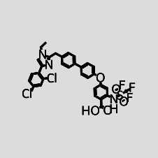 CCn1cc(-c2ccc(Cl)cc2Cl)nc1Cc1ccc(-c2ccc(Oc3ccc(C(=O)O)c(NS(=O)(=O)C(F)(F)F)c3)cc2)cc1